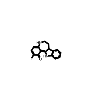 O=C1C(I)=CC=C2NCCC3C(=C12)Nc1ccccc13